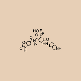 O=C(O)C(F)(F)F.O=C1COc2cc(C(=O)N(Cc3ccc(C(=O)Nc4ccc5c(c4)CCNC5)cc3)C3CC3)ccc2N1